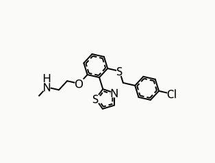 CNCCOc1cccc(SCc2ccc(Cl)cc2)c1-c1nccs1